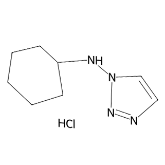 Cl.c1cn(NC2CCCCC2)nn1